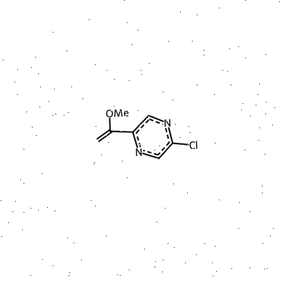 C=C(OC)c1cnc(Cl)cn1